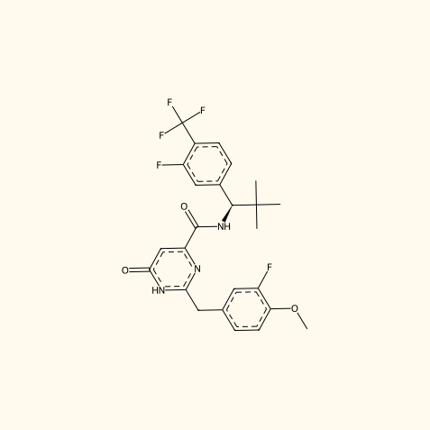 COc1ccc(Cc2nc(C(=O)N[C@@H](c3ccc(C(F)(F)F)c(F)c3)C(C)(C)C)cc(=O)[nH]2)cc1F